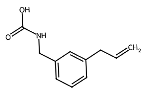 C=CCc1cccc(CNC(=O)O)c1